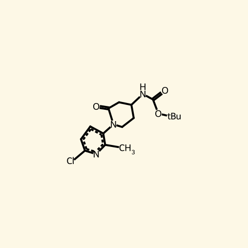 Cc1nc(Cl)ccc1N1CCC(NC(=O)OC(C)(C)C)CC1=O